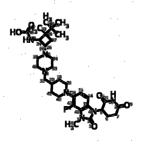 Cn1c(=O)n(C2CCC(=O)NC2=O)c2ccc(N3CCC(CN4CCN([C@H]5C[C@@](C)(C(C)(C)C)C5NC(=O)O)CC4)CC3)c(F)c21